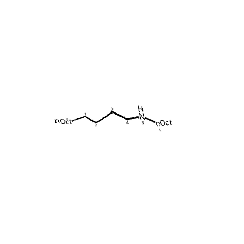 CCCCCCCCCCCCNCCCCCCCC